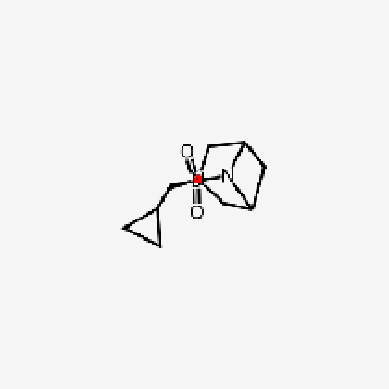 CN1CC2CC(C1)N2S(=O)(=O)CC1CC1